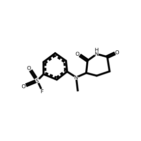 CN(c1cccc(S(=O)(=O)F)c1)C1CCC(=O)NC1=O